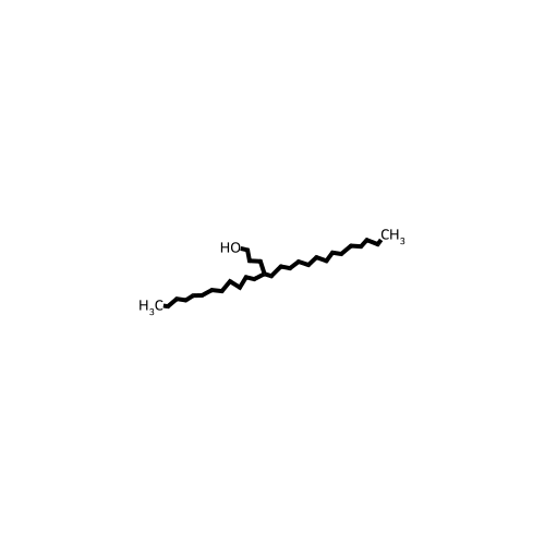 CCCCCCCCCCCCCCC(CCCO)CCCCCCCCCCCC